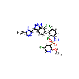 COc1ncc(F)cc1S(=O)(=O)Nc1ccc(F)c(-c2ccc3c(-c4nnc(C)[nH]4)n[nH]c3c2F)c1F